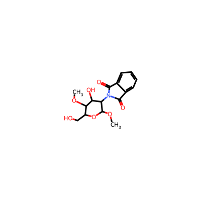 COC1OC(CO)C(OC)C(O)C1N1C(=O)c2ccccc2C1=O